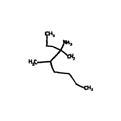 CCCCC(C)C(C)(N)CC